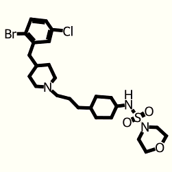 O=S(=O)(NC1CCC(CCCN2CCC(Cc3cc(Cl)ccc3Br)CC2)CC1)N1CCOCC1